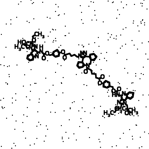 CCOCc1nc2c(NC(=O)OCc3ccc(OC(=O)CCCCC(=O)N4Cc5ccccc5-c5nnn(CCCCC(=O)Oc6ccc(COC(=O)Nc7nc8ccccc8c8c7nc(COCC)n8CC(C)(C)O)cc6)c5-c5ccccc54)cc3)nc3ccccc3c2n1CC(C)(C)O